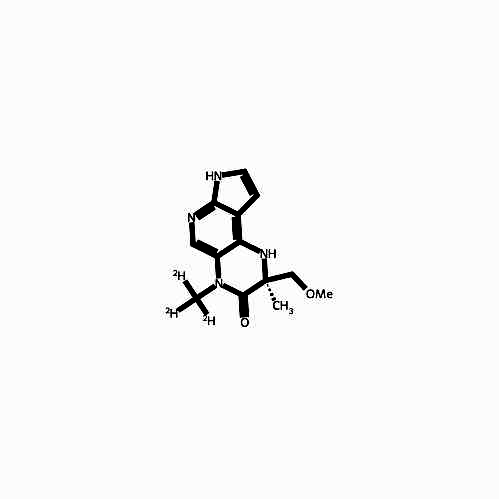 [2H]C([2H])([2H])N1C(=O)[C@](C)(COC)Nc2c1cnc1[nH]ccc21